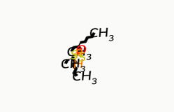 CCCCC[C@H](CC)O[PH](=S)S[C@@H](CC)CCCCC